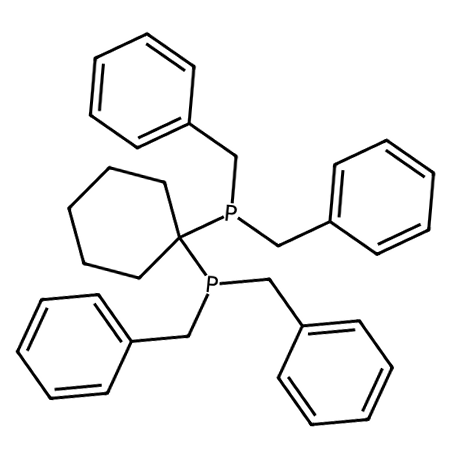 c1ccc(CP(Cc2ccccc2)C2(P(Cc3ccccc3)Cc3ccccc3)CCCCC2)cc1